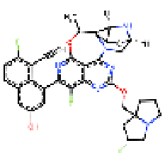 C#Cc1c(F)ccc2cc(O)cc(-c3nc4c5c(nc(OC[C@@]67CCCN6C[C@H](F)C7)nc5c3F)N3C[C@H]5CC6[C@H](N5)C63[C@H](C)O4)c12